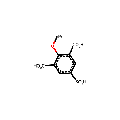 CCCOc1c(C(=O)O)cc(S(=O)(=O)O)cc1C(=O)O